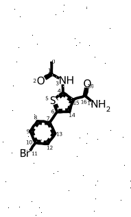 CC(=O)Nc1sc(-c2ccc(Br)cc2)cc1C(N)=O